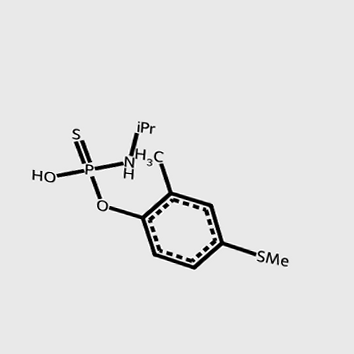 CSc1ccc(OP(O)(=S)NC(C)C)c(C)c1